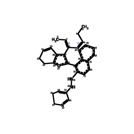 C/C=C(/C=C\CC)c1c(-c2c(NNC3=CCCN=C3)ccc3ccccc23)oc2c1C=CCC2